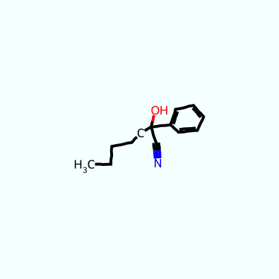 CCCCCC(O)(C#N)c1ccccc1